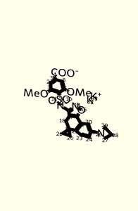 COc1cc(C(=O)[O-])cc(OC)c1S(=O)(=O)[N-]c1noc2c1CC1(CC1)c1ccc(N3CCC3)cc1-2.[K+].[K+]